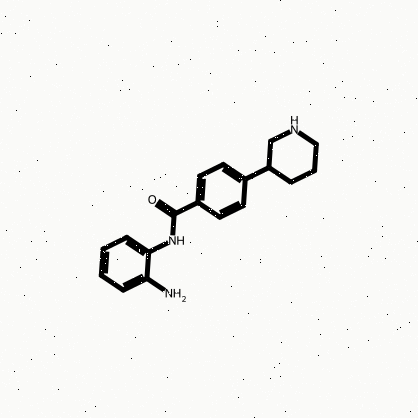 Nc1ccccc1NC(=O)c1ccc(C2CCCNC2)cc1